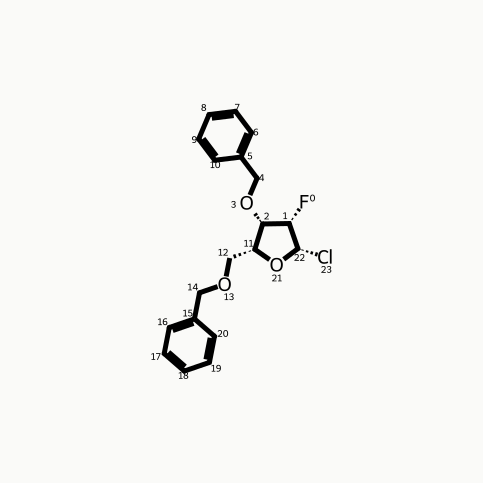 F[C@H]1[C@@H](OCc2ccccc2)[C@@H](COCc2ccccc2)O[C@H]1Cl